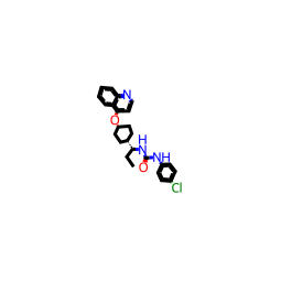 CCC(NC(=O)Nc1ccc(Cl)cc1)[C@H]1CC[C@H](Oc2ccnc3ccccc23)CC1